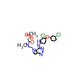 CN(CCn1ccc2ncnc(Nc3ccc(Oc4cccc(Cl)c4)c(Cl)c3)c21)C(=O)CS(C)(=O)=O